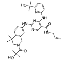 C=CCNC(=O)c1cnc(Nc2ccc3c(c2)CN(C(=O)C(C)(C)O)CC3(C)C)nc1Nc1cccc(C(C)(C)O)n1